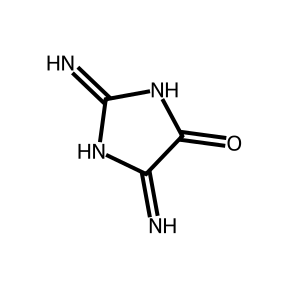 N=C1NC(=N)C(=O)N1